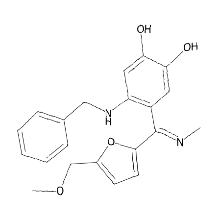 C/N=C(/c1ccc(COC)o1)c1cc(O)c(O)cc1NCc1ccccc1